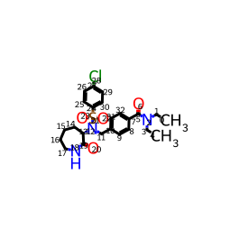 CCN(CC)C(=O)c1ccc(CN([C@@H]2CCCCNC2=O)S(=O)(=O)c2ccc(Cl)cc2)cc1